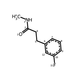 CNC(=O)CCc1cccc(F)c1